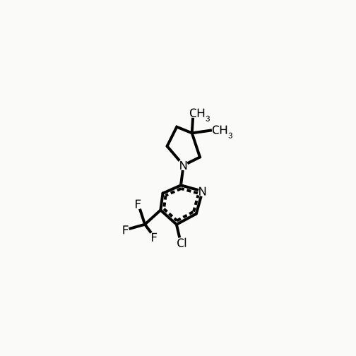 CC1(C)CCN(c2cc(C(F)(F)F)c(Cl)cn2)C1